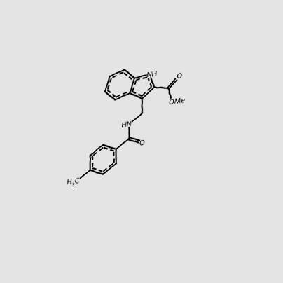 COC(=O)c1[nH]c2ccccc2c1CNC(=O)c1ccc(C)cc1